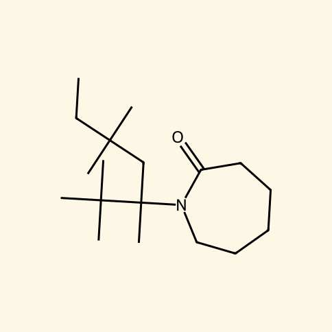 CCC(C)(C)CC(C)(N1CCCCCC1=O)C(C)(C)C